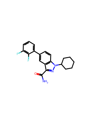 NC(=O)c1nn(C2CCCCC2)c2ccc(-c3cccc(F)c3F)cc12